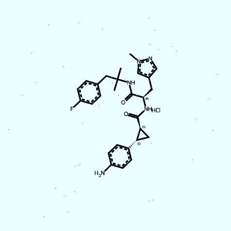 Cl.Cn1cc(C[C@@H](NC(=O)[C@H]2C[C@@H]2c2ccc(N)cc2)C(=O)NC(C)(C)Cc2ccc(F)cc2)cn1